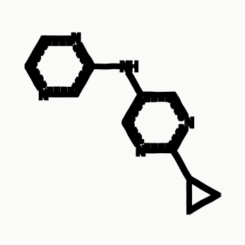 c1cnc(Nc2cnc(C3CC3)nc2)cn1